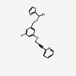 CCC(OCc1cc(F)cc(OCC#Cc2ccccn2)c1)c1nccs1